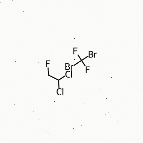 FC(F)(Br)Br.FCC(Cl)Cl